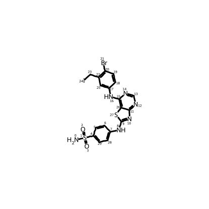 NS(=O)(=O)c1ccc(Nc2nc3ncnc(Nc4ccc(Br)c(CI)c4)c3s2)cc1